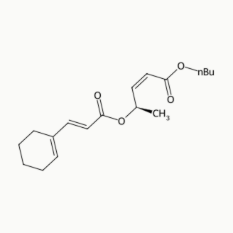 CCCCOC(=O)/C=C\[C@@H](C)OC(=O)/C=C/C1=CCCCC1